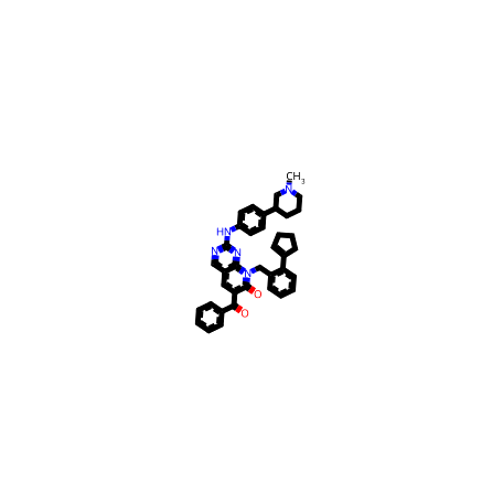 CN1CCCC(c2ccc(Nc3ncc4cc(C(=O)c5ccccc5)c(=O)n(Cc5ccccc5C5=CCCC5)c4n3)cc2)C1